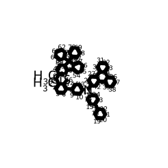 C[Si]1(C)c2cccc(-c3ccc(N(c4ccc(-c5ccccc5)cc4)c4ccc5c6ccccc6c6ccccc6c5c4)cc3)c2Sc2c1ccc1c2-c2ccccc2C1(c1ccccc1)c1ccccc1